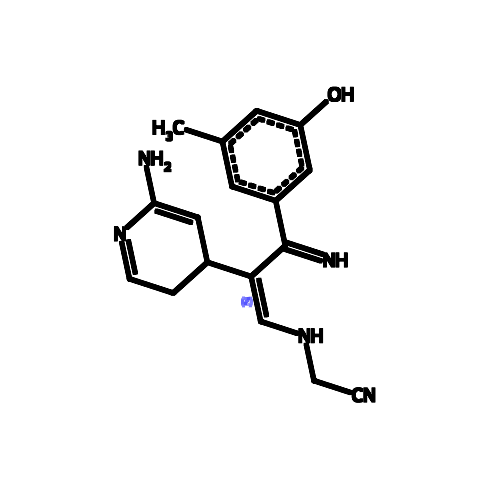 Cc1cc(O)cc(C(=N)/C(=C\NCC#N)C2C=C(N)N=CC2)c1